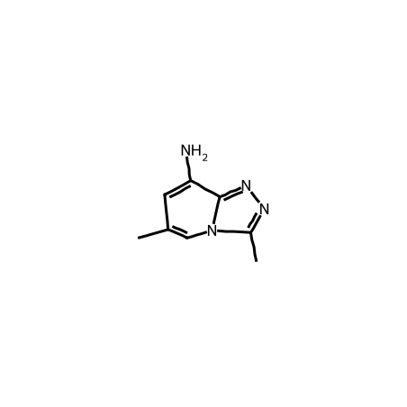 Cc1cc(N)c2nnc(C)n2c1